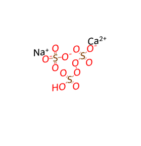 O=S(=O)([O-])OOS(=O)(=O)O.O=S(=O)([O-])[O-].[Ca+2].[Na+]